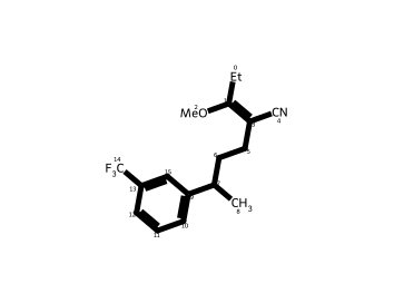 CCC(OC)=C(C#N)CCC(C)c1cccc(C(F)(F)F)c1